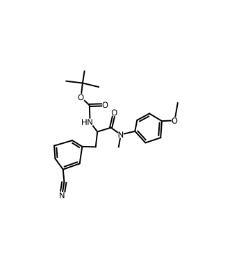 COc1ccc(N(C)C(=O)C(Cc2cccc(C#N)c2)NC(=O)OC(C)(C)C)cc1